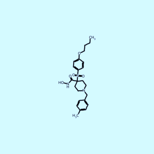 CCCCOc1ccc(S(=O)(=O)C2(C(=O)NO)CCN(Cc3ccc(C)cc3)CC2)cc1